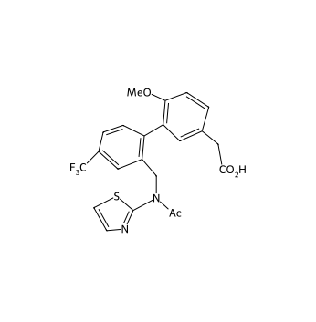 COc1ccc(CC(=O)O)cc1-c1ccc(C(F)(F)F)cc1CN(C(C)=O)c1nccs1